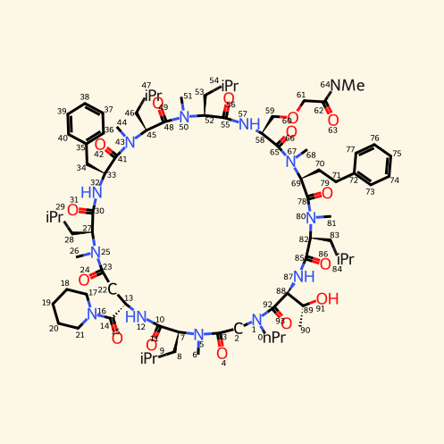 CCCN1CC(=O)N(C)[C@@H](CC(C)C)C(=O)N[C@H](C(=O)N2CCCCC2)CC(=O)N(C)[C@@H](CC(C)C)C(=O)N[C@@H](Cc2ccccc2)C(=O)N(C)[C@@H](CC(C)C)C(=O)N(C)[C@@H](CC(C)C)C(=O)N[C@@H](COCC(=O)NC)C(=O)N(C)[C@@H](CCc2ccccc2)C(=O)N(C)[C@@H](CC(C)C)C(=O)N[C@@H]([C@@H](C)O)C1=O